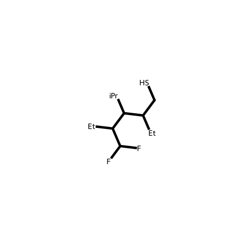 CCC(CS)C(C(C)C)C(CC)C(F)F